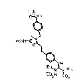 CC(=O)Nc1nc(CCc2ccc(NC(N(C(=O)O)C(C)(C)C)N(C(=O)O)C(C)(C)C)cc2)c(Cc2ccc(S(N)(=O)=O)cc2)s1